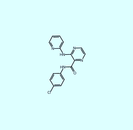 O=C(Nc1ccc(Cl)cc1)c1nccnc1Nc1ccccn1